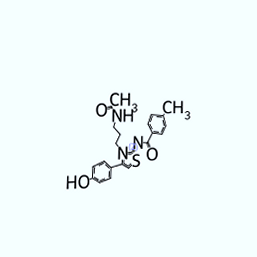 CC(=O)NCCCn1c(-c2ccc(O)cc2)cs/c1=N\C(=O)c1ccc(C)cc1